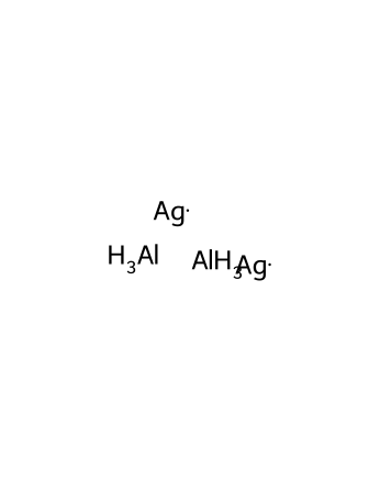 [Ag].[Ag].[AlH3].[AlH3]